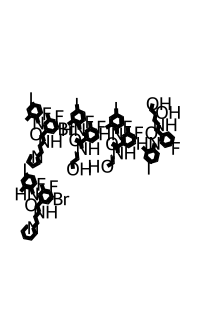 Cc1cc(I)ccc1N=C1C(C(=O)NCCN2CCCC2)=CC(Br)=C(F)C1F.Cc1cc(I)ccc1Nc1c(C(=O)NCCCO)ccc(F)c1F.Cc1cc(I)ccc1Nc1c(C(=O)NCCN2CCCCC2)cc(Br)c(F)c1F.Cc1cc(I)ccc1Nc1c(C(=O)NCCO)ccc(F)c1F.Cc1cc(I)ccc1Nc1cc(F)ccc1C(=O)NCC(O)CO